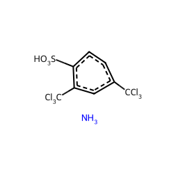 N.O=S(=O)(O)c1ccc(C(Cl)(Cl)Cl)cc1C(Cl)(Cl)Cl